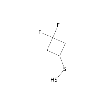 FC1(F)CC(SS)C1